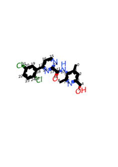 Cc1cc(CO)nc(C)c1NC(=O)c1nccc(-c2cc(Cl)ccc2Cl)n1